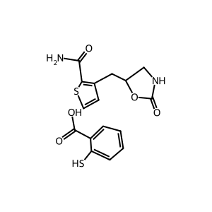 NC(=O)c1sccc1CC1CNC(=O)O1.O=C(O)c1ccccc1S